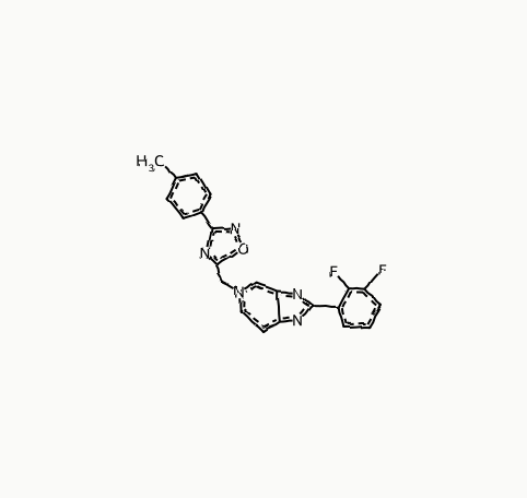 Cc1ccc(-c2noc(Cn3ccc4nc(-c5cccc(F)c5F)nc-4c3)n2)cc1